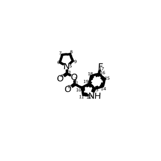 O=C(OC(=O)N1CCCC1)c1c[nH]c2ccc(F)cc12